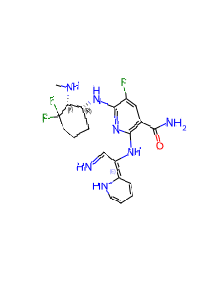 CN[C@@H]1[C@H](Nc2nc(N/C(C=N)=C3\C=CC=CN3)c(C(N)=O)cc2F)CCCC1(F)F